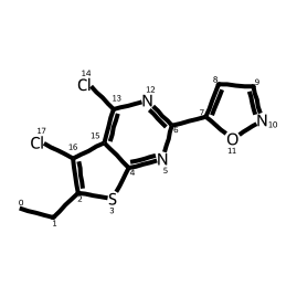 CCc1sc2nc(-c3ccno3)nc(Cl)c2c1Cl